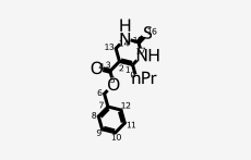 CCCC1=C(C(=O)OCc2ccccc2)CNC(=S)N1